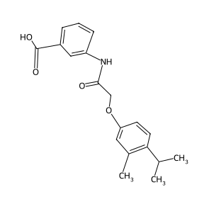 Cc1cc(OCC(=O)Nc2cccc(C(=O)O)c2)ccc1C(C)C